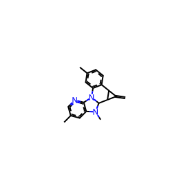 C=C1C2c3ccc(C)cc3N3c4ncc(C)cc4N(C)C3C12